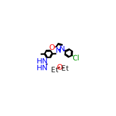 CCOCC.Cc1cc(Oc2ccn(-c3ccc(Cl)cc3)n2)c(C)cc1NC=N